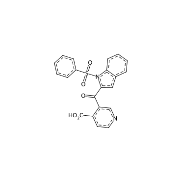 O=C(O)c1ccncc1C(=O)c1cc2ccccc2n1S(=O)(=O)c1ccccc1